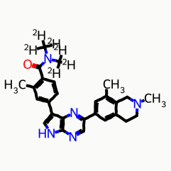 [2H]C([2H])([2H])N(C(=O)c1ccc(-c2c[nH]c3ncc(-c4cc(C)c5c(c4)CCN(C)C5)nc23)cc1C)C([2H])([2H])[2H]